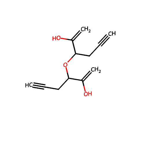 C#CCC(OC(CC#C)C(=C)O)C(=C)O